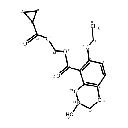 CCOc1ccc2c(c1C(=O)OCOC(=O)C1CC1)OB(O)CO2